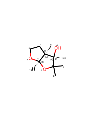 CC1(C)O[C@H]2OCC[C@@]2(C)[C@@]1(C)O